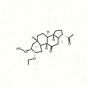 CCO[C@H]1C[C@@]2(C)[C@@H](CC[C@H]3[C@@H]4CC[C@H](C(C)=O)[C@@]4(C)CC(=O)[C@@H]32)C[C@@H]1OS